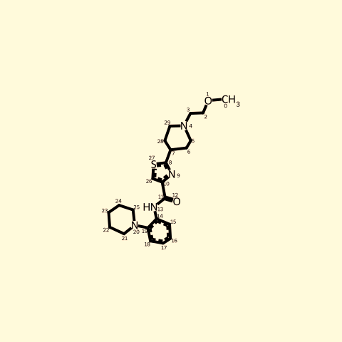 COCCN1CCC(c2nc(C(=O)Nc3ccccc3N3CCCCC3)cs2)CC1